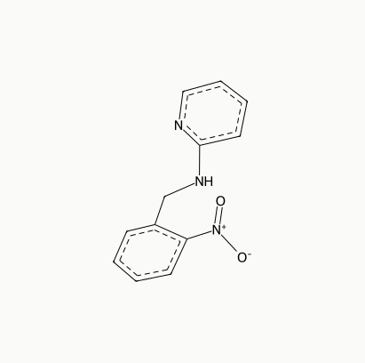 O=[N+]([O-])c1ccccc1CNc1ccccn1